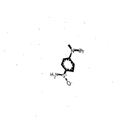 CC(C)N(C)c1ccc([S+](N)[O-])cc1